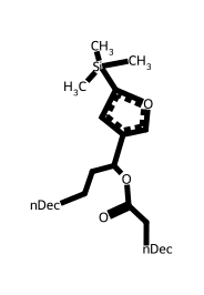 CCCCCCCCCCCCC(OC(=O)CCCCCCCCCCC)c1coc([Si](C)(C)C)c1